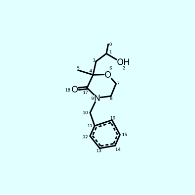 CC(O)CC1(C)OCCN(Cc2ccccc2)C1=O